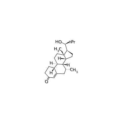 CCC[C@H](O)[C@H]1CC[C@@H]2[C@H]3[C@H](CC[C@@]21C)[C@H]1CCC(=O)C=C1C[C@H]3C